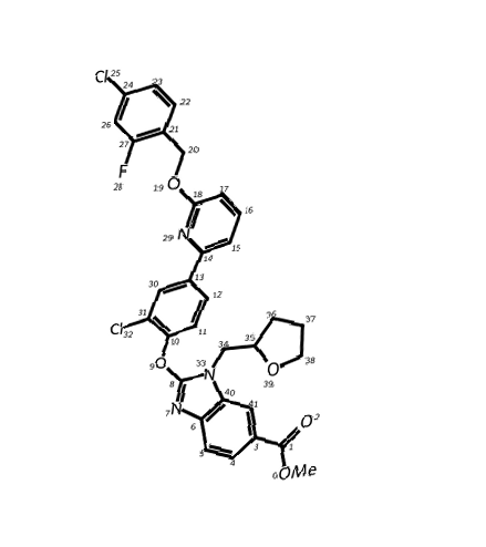 COC(=O)c1ccc2nc(Oc3ccc(-c4cccc(OCc5ccc(Cl)cc5F)n4)cc3Cl)n(CC3CCCO3)c2c1